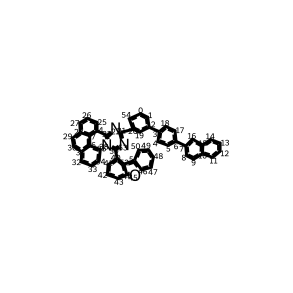 c1cc(-c2ccc(-c3ccc4ccccc4c3)cc2)cc(-c2nc(-c3cccc4ccc5ccccc5c34)nc(-c3cccc4oc5ccccc5c34)n2)c1